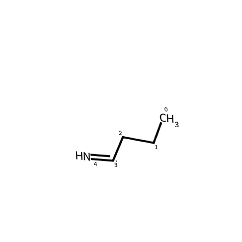 CCC[C]=N